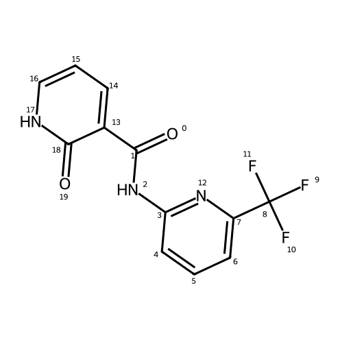 O=C(Nc1cccc(C(F)(F)F)n1)c1ccc[nH]c1=O